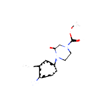 COc1cc(N2CCN(C(=O)OC(C)(C)C)CC2=O)ccc1N